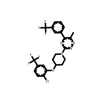 Cc1nnc(N2CCC(Oc3cc(C(F)(F)F)ccc3Cl)CC2)nc1-c1cccc(C(F)(F)F)c1